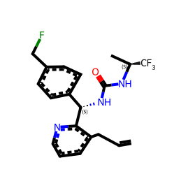 C=CCc1cccnc1[C@@H](NC(=O)N[C@@H](C)C(F)(F)F)c1ccc(CF)cc1